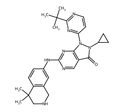 CC(C)(C)c1nccc(-n2c3nc(Nc4ccc5c(c4)CNCC5(C)C)ncc3c(=O)n2C2CC2)n1